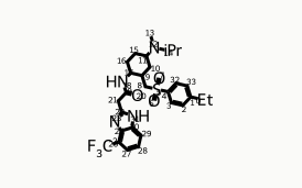 CCc1ccc(S(=O)(=O)CC2CC(N(C)C(C)C)CCC2NC(=O)Cc2nc3c(C(F)(F)F)cccc3[nH]2)cc1